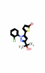 OC(c1cc(-c2ccc(Br)s2)n(-c2ccccc2Cl)n1)(C(F)(F)F)C(F)(F)F